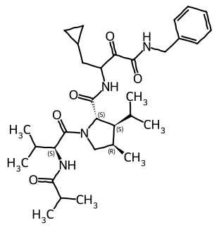 CC(C)C(=O)N[C@H](C(=O)N1C[C@H](C)[C@H](C(C)C)[C@H]1C(=O)NC(CC1CC1)C(=O)C(=O)NCc1ccccc1)C(C)C